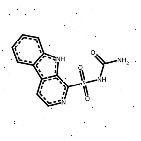 NC(=O)NS(=O)(=O)c1nccc2c1[nH]c1ccccc12